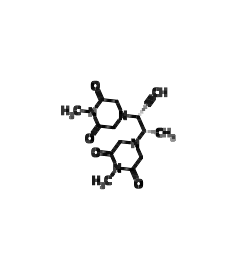 C#C[C@H]([C@H](C)N1CC(=O)N(C)C(=O)C1)N1CC(=O)N(C)C(=O)C1